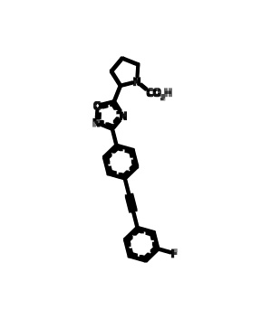 O=C(O)N1CCCC1c1nc(-c2ccc(C#Cc3cccc(F)c3)cc2)no1